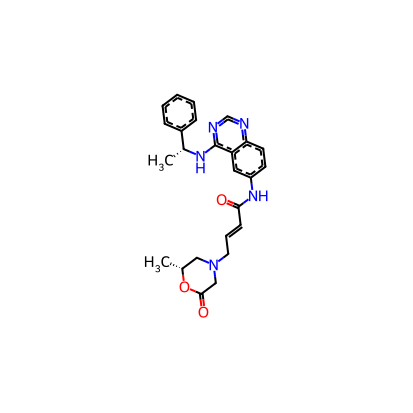 C[C@@H]1CN(CC=CC(=O)Nc2ccc3ncnc(N[C@H](C)c4ccccc4)c3c2)CC(=O)O1